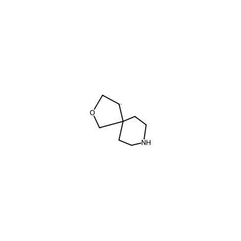 [CH]1COCC12CCNCC2